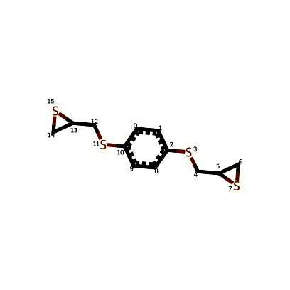 c1cc(SCC2CS2)ccc1SCC1CS1